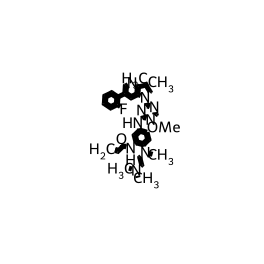 C=CC(=O)Nc1cc(Nc2ncnc(N3CC(C)(C)c4ncc(-c5ccccc5F)cc43)n2)c(OC)cc1N(C)CCN(C)C